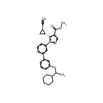 C#C[C@@H]1C[C@H]1c1c(C(=O)OC)cnn1-c1cccc(-c2cccc(OC(C)C3CCCCC3)c2)c1